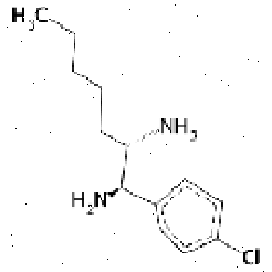 CCCCC[C@H](N)[C@H](N)c1ccc(Cl)cc1